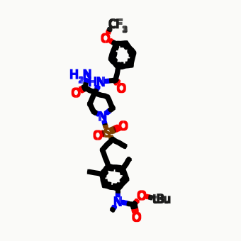 Cc1cc(N(C)C(=O)OC(C)(C)C)cc(C)c1CC(C)S(=O)(=O)N1CCC(NC(=O)c2cccc(OC(F)(F)F)c2)(C(N)=O)CC1